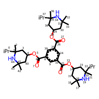 CC(C)C1(C)CC(OC(=O)c2cc(C(=O)OC3CC(C)(C)NC(C)(C(C)C)C3)cc(C(=O)OC3CC(C)(C)NC(C)(C(C)C)C3)c2)CC(C)(C)N1